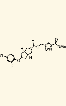 CNC(=O)c1cc(COC(=O)N2C[C@H]3C[C@@H](Oc4ccc(Cl)cc4F)C[C@H]3C2)on1